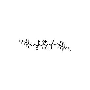 O=C(CCC(F)(F)C(F)(F)C(F)(F)C(F)(F)F)NCC(O)C(O)CNC(=O)CCC(F)(F)C(F)(F)C(F)(F)C(F)(F)F